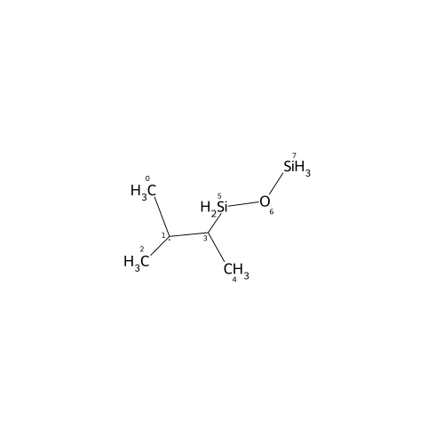 C[C](C)C(C)[SiH2]O[SiH3]